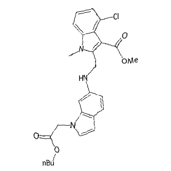 CCCCOC(=O)Cn1ccc2ccc(NCc3c(C(=O)OC)c4c(Cl)cccc4n3C)cc21